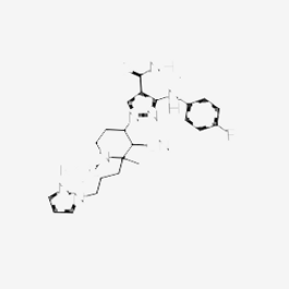 CC1(CCCn2cccn2)C(C#N)C(n2cc(C(N)=O)c(Nc3ccc(F)cc3)n2)CCN1C(=O)O